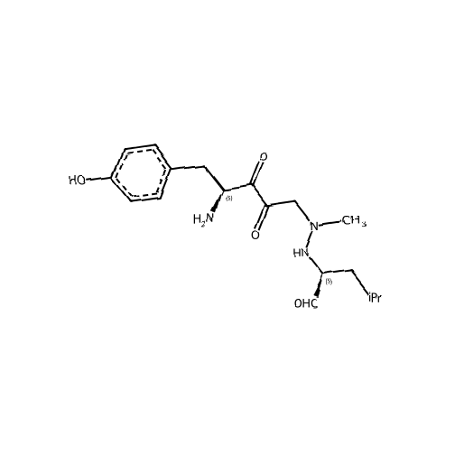 CC(C)C[C@@H](C=O)NN(C)CC(=O)C(=O)[C@@H](N)Cc1ccc(O)cc1